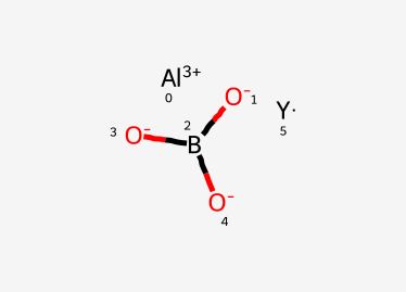 [Al+3].[O-]B([O-])[O-].[Y]